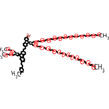 C=Cc1ccc(/C=C/c2ccc3c(c2)C(CCCOCCOC)(CCCOCCOC)c2cc(/C=C/c4ccc5c(c4)C(CCCOCCOCCOCCOCCOCCOCCOCCOCCOCCOCCOCCOC)(CCCOCCOCCOCCOCCOCCOCCOCCOCCOCCOCCOCCOC)c4cc(Br)ccc4-5)ccc2-3)cc1